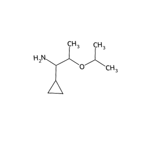 CC(C)OC(C)C(N)C1CC1